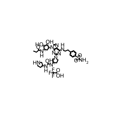 CCC(=O)N[C@H]1C[C@@H](n2cnc3c(NCCc4ccc(S(N)(=O)=O)cc4)nc(N4CC[C@@H](NC(=O)N[C@@H]5CCNC5)C4)nc32)[C@H](O)[C@@H]1O.O=C(O)C(F)(F)F